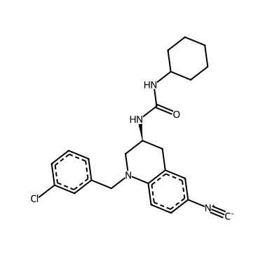 [C-]#[N+]c1ccc2c(c1)C[C@H](NC(=O)NC1CCCCC1)CN2Cc1cccc(Cl)c1